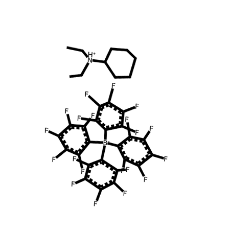 CC[NH+](CC)C1CCCCC1.Fc1c(F)c(F)c([B-](c2c(F)c(F)c(F)c(F)c2F)(c2c(F)c(F)c(F)c(F)c2F)c2c(F)c(F)c(F)c(F)c2F)c(F)c1F